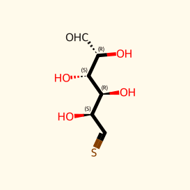 O=C[C@H](O)[C@@H](O)[C@@H](O)[C@H](O)C=S